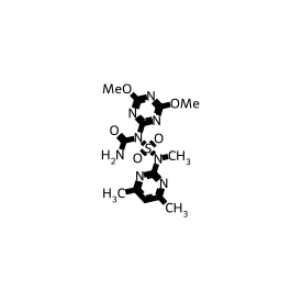 COc1nc(OC)nc(N(C(N)=O)S(=O)(=O)N(C)c2nc(C)cc(C)n2)n1